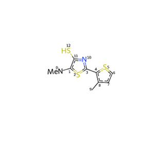 CNc1sc(-c2sccc2C)nc1S